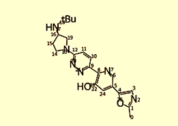 Cc1ncc(-c2cnc(-c3ccc(N4CC[C@@H](NC(C)(C)C)C4)nn3)c(O)c2)o1